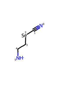 N#C[Se]CC[NH]